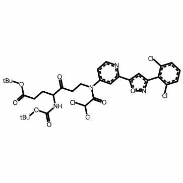 CC(C)(C)OC(=O)CCC(NC(=O)OC(C)(C)C)C(=O)CCN(C(=O)C(Cl)Cl)c1ccnc(-c2cc(-c3c(Cl)cccc3Cl)no2)c1